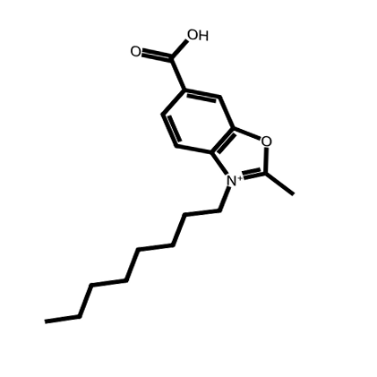 CCCCCCCC[n+]1c(C)oc2cc(C(=O)O)ccc21